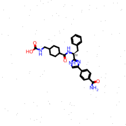 NC(=O)c1ccc(-c2c[nH]c([C@H](Cc3ccccc3)NC(=O)C3CCC(CNC(=O)O)CC3)n2)cc1